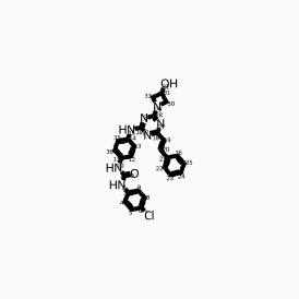 O=C(Nc1ccc(Cl)cc1)Nc1ccc(Nc2nc(C=Cc3ccccc3)nc(N3CC(O)C3)n2)cc1